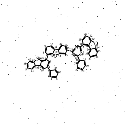 c1ccc(-c2cc(-c3cccc4c3oc3cc(-c5nc(-c6ccccc6)nc(-c6cccc7oc8ccccc8c67)n5)ccc34)c3sc4ccccc4c3c2)cc1